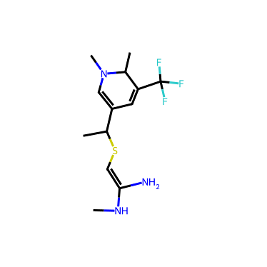 CN/C(N)=C/SC(C)C1=CN(C)C(C)C(C(F)(F)F)=C1